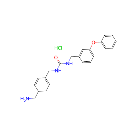 Cl.NCc1ccc(CNC(=O)NCc2cccc(Oc3ccccc3)c2)cc1